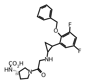 O=C(O)N[C@H]1CCN(C(=O)CNC2CC2c2cc(F)cc(F)c2OCc2ccccc2)C1